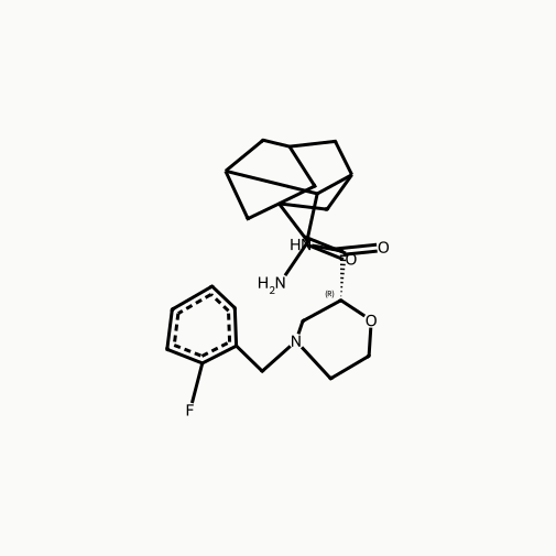 NC(=O)C12CC3CC(C1)C(NC(=O)[C@H]1CN(Cc4ccccc4F)CCO1)C(C3)C2